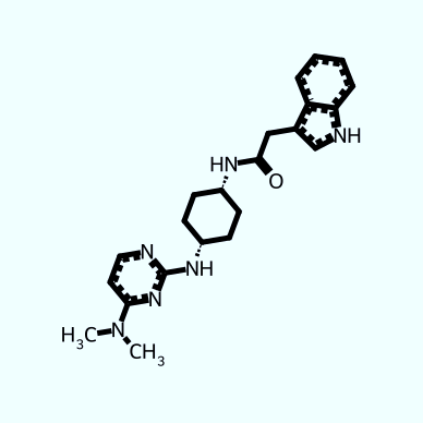 CN(C)c1ccnc(N[C@H]2CC[C@@H](NC(=O)Cc3c[nH]c4ccccc34)CC2)n1